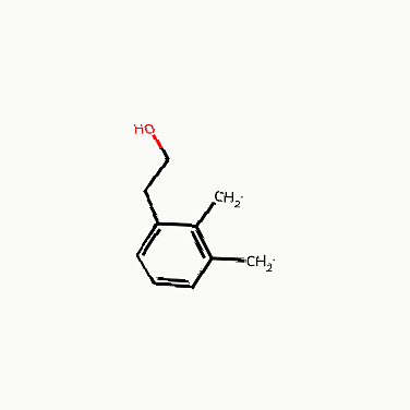 [CH2]c1cccc(CCO)c1[CH2]